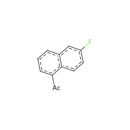 CC(=O)c1cccc2cc(F)ccc12